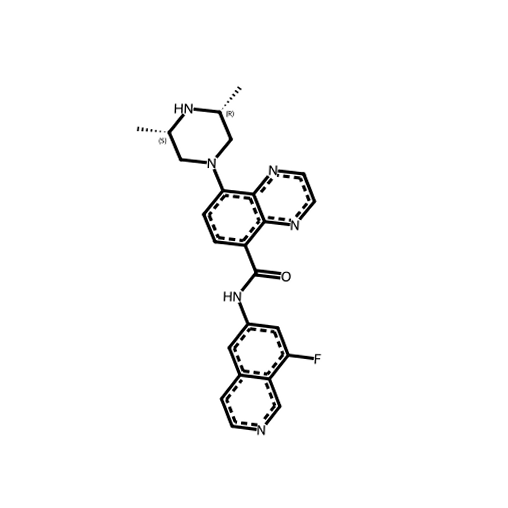 C[C@@H]1CN(c2ccc(C(=O)Nc3cc(F)c4cnccc4c3)c3nccnc23)C[C@H](C)N1